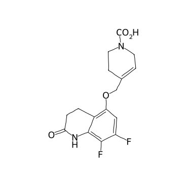 O=C1CCc2c(OCC3=CCN(C(=O)O)CC3)cc(F)c(F)c2N1